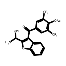 CCCC(N)c1oc2ccccc2c1C(=O)c1cc(C(F)(F)F)c(OC(C)=O)c(C(F)(F)F)c1